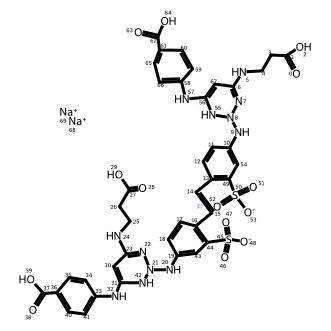 O=C(O)CCNC1=NN(Nc2ccc(/C=C/c3ccc(NN4N=C(NCCC(=O)O)C=C(Nc5ccc(C(=O)O)cc5)N4)cc3S(=O)(=O)[O-])c(S(=O)(=O)[O-])c2)NC(Nc2ccc(C(=O)O)cc2)=C1.[Na+].[Na+]